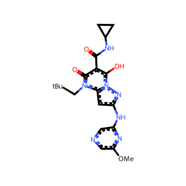 COc1cncc(Nc2cc3n(CC(C)(C)C)c(=O)c(C(=O)NC4CC4)c(O)n3n2)n1